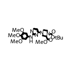 COC(=O)C1CN(c2ccnc(Nc3cc(OC)c(OC)c(OC)c3)n2)CCN1C(=O)OC(C)(C)C